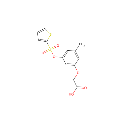 Cc1cc(OCC(=O)O)cc(OS(=O)(=O)c2cccs2)c1